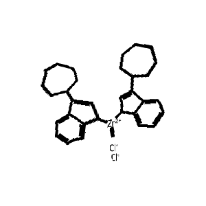 [CH2]=[Zr+2]([CH]1C=C(C2CCCCCC2)c2ccccc21)[CH]1C=C(C2CCCCCC2)c2ccccc21.[Cl-].[Cl-]